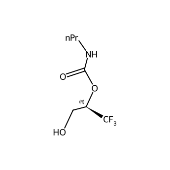 CCCNC(=O)O[C@H](CO)C(F)(F)F